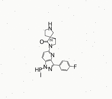 O=C1N(c2ccc3c(n2)c(-c2ccc(F)cc2)nn3PI)CC[C@]12CCNC2